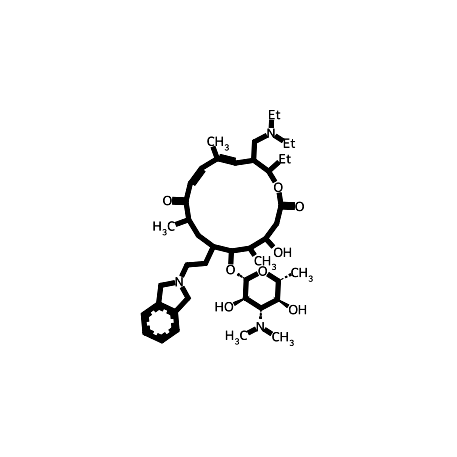 CCC1OC(=O)CC(O)C(C)C(O[C@@H]2O[C@H](C)[C@@H](O)[C@H](N(C)C)[C@H]2O)C(CCN2Cc3ccccc3C2)CC(C)C(=O)/C=C\C(C)=C\C1CN(CC)CC